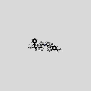 CN[C@H](C(=O)N[C@H](C(=O)N(C)[C@H](/C=C(\C)C(=O)NS(=O)(=O)c1ccc(C(N)=O)cc1[N+](=O)[O-])C(C)C)C(C)(C)C)C(C)(C)c1ccccc1